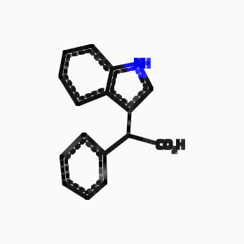 O=C(O)C(c1ccccc1)c1c[nH]c2ccccc12